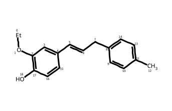 CCOc1cc(C=CCc2ccc(C)cc2)ccc1O